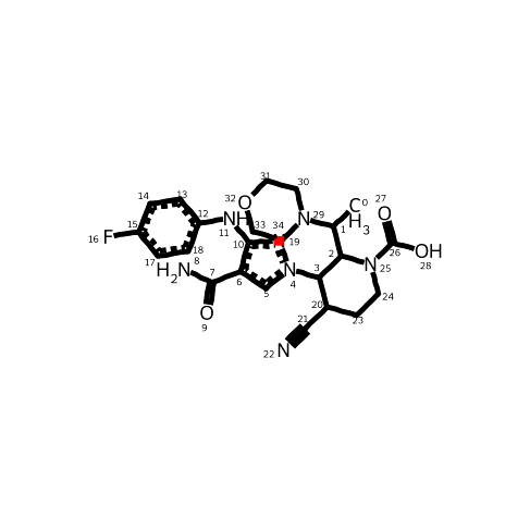 CC(C1C(n2cc(C(N)=O)c(Nc3ccc(F)cc3)n2)C(C#N)CCN1C(=O)O)N1CCOCC1